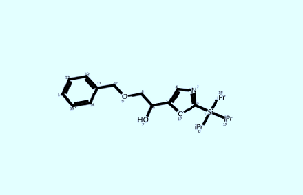 CC(C)[Si](c1ncc(C(O)COCc2ccccc2)o1)(C(C)C)C(C)C